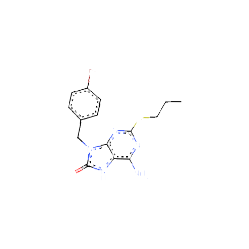 CCCSc1nc(N)c2[nH]c(=O)n(Cc3ccc(Br)cc3)c2n1